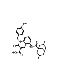 COc1ccc(Cn2c(=O)c(C(=O)O)cc3c(NC(=O)C45CC(C)CC(CC(C)C4)C5)cccc32)cc1